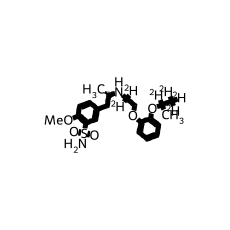 [2H]C([2H])(COc1ccccc1OC([2H])(C)C([2H])([2H])[2H])N[C@H](C)Cc1ccc(OC)c(S(N)(=O)=O)c1